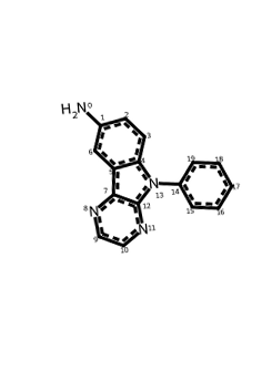 Nc1ccc2c(c1)c1nccnc1n2-c1ccccc1